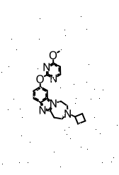 COc1ccnc(Oc2ccc3nc4n(c3c2)CCN(C2CCC2)CC4)n1